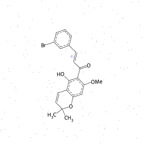 COc1cc2c(c(O)c1C(=O)/C=C/c1cccc(Br)c1)C=CC(C)(C)O2